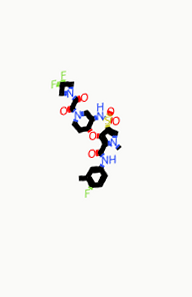 Cc1cc(NC(=O)c2c3c(cn2C)S(=O)(=O)NC2CN(C(=O)C(=O)N4CC(F)(F)C4)CCC2O3)ccc1F